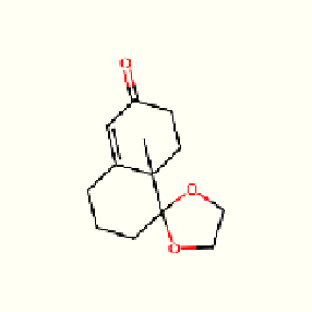 CC12CCC(=O)C=C1CCCC21OCCO1